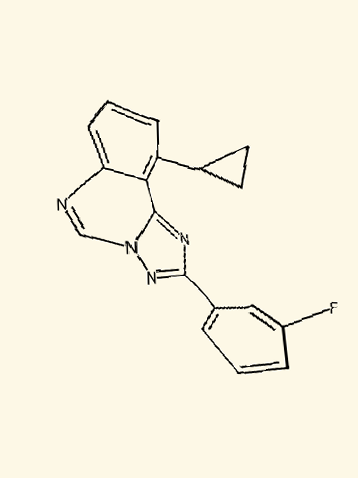 Fc1cccc(-c2nc3c4c(C5CC5)cccc4ncn3n2)c1